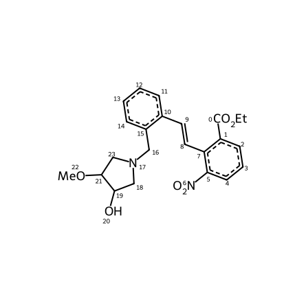 CCOC(=O)c1cccc([N+](=O)[O-])c1C=Cc1ccccc1CN1CC(O)C(OC)C1